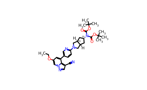 CCOc1cc(-c2ccc(N3C[C@H]4C[C@H](N(C(=O)OC(C)(C)C)C(=O)OC(C)(C)C)C[C@H]4C3)nc2)c2c(C#N)cnn2c1